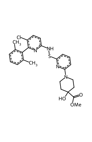 COC(=O)C1(O)CCN(c2cccc(SNc3ccc(Cl)c(-c4c(C)cccc4C)n3)n2)CC1